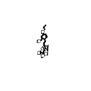 CCCOc1ccc(C=Cc2nnc(C(Cl)(Cl)Cl)o2)c(Cl)c1